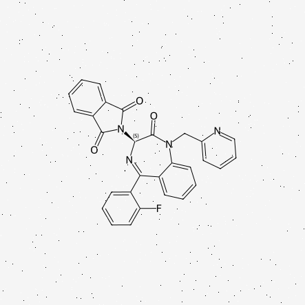 O=C1[C@H](N2C(=O)c3ccccc3C2=O)N=C(c2ccccc2F)c2ccccc2N1Cc1ccccn1